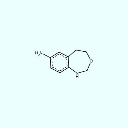 Nc1ccc2c(c1)CCOCN2